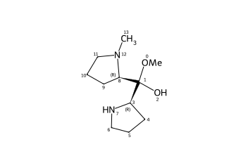 COC(O)([C@H]1CCCN1)[C@H]1CCCN1C